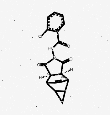 O=C(NN1C(=O)[C@@H]2C3C=CC(C4CC43)[C@@H]2C1=O)c1ccccc1Cl